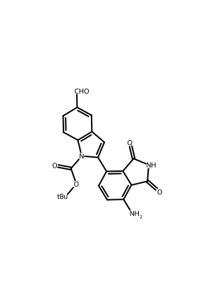 CC(C)(C)OC(=O)n1c(-c2ccc(N)c3c2C(=O)NC3=O)cc2cc(C=O)ccc21